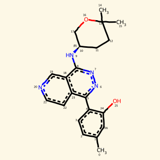 Cc1ccc(-c2nnc(N[C@@H]3CCC(C)(C)OC3)c3cnccc23)c(O)c1